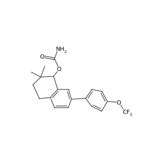 CC1(C)CCc2ccc(-c3ccc(OC(F)(F)F)cc3)cc2C1OC(N)=O